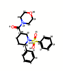 O=C([C@@H]1CC[C@H](c2ccccc2)N(S(=O)(=O)c2ccccc2)C1)N1CCOCC1